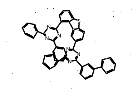 c1ccc(-c2cccc(-c3nc(-c4ccccc4)nc(-c4ccc5sc6cccc(-c7nc(-c8ccccc8)nc(-c8ccccc8)n7)c6c5c4)n3)c2)cc1